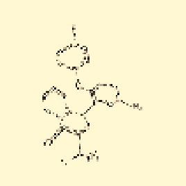 CC(C)n1cc(-c2cc(N)ccc2Oc2ccc(F)cc2)c2ccccc2c1=O